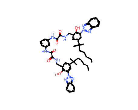 CCCCCC(C)(C)c1cc(CNC(=O)C(=O)Nc2cccc(NC(=O)C(=O)NCc3cc(C(C)(C)CCCCC)cc(-n4nc5ccccc5n4)c3O)c2)c(O)c(-n2nc3ccccc3n2)c1